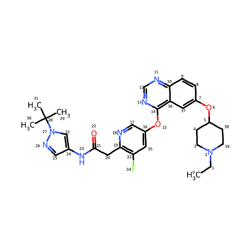 CCN1CCC(Oc2ccc3ncnc(Oc4cnc(CC(=O)Nc5cnn(C(C)(C)C)c5)c(F)c4)c3c2)CC1